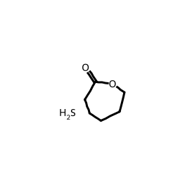 O=C1CCCCCO1.S